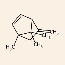 C=C1CC2(C)C=CC1C2(C)C